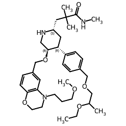 CCOC(C)COCc1ccc([C@H]2C[C@@H](CC(C)(C)C(=O)NC)NC[C@@H]2OCc2ccc3c(c2)N(CCCOC)CCO3)cc1